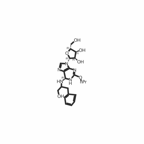 CCCOC1=Nc2c(ncn2[C@@H]2O[C@H](CO)[C@@H](O)[C@H]2O)[C@H](NC(CO)Cc2ccccc2)N1